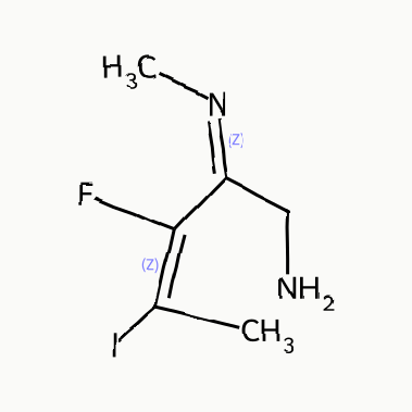 C/N=C(CN)\C(F)=C(/C)I